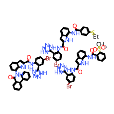 CCSc1ccc(C(=O)Nc2cccc3cc(C(=O)Nc4ccc(Br)cc4-c4nnn[nH]4)[nH]c23)cc1.CS(=O)(=O)c1ccccc1C(=O)Nc1cccc2cc(C(=O)Nc3ccc(Br)cc3-c3nnn[nH]3)[nH]c12.O=C(Nc1ccc(Br)cc1-c1nnn[nH]1)c1cc2cccc(NC(=O)c3ccccc3-c3ccccc3)c2[nH]1